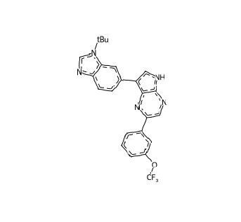 CC(C)(C)n1cnc2ccc(-c3c[nH]c4ncc(-c5cccc(OC(F)(F)F)c5)nc34)cc21